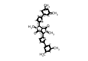 Cc1cc(C)cc(-c2ccc(C3=C4C(=O)N(C)C(c5ccc(-c6cc(C)cc(C)c6)s5)C4C(=O)N3C)s2)c1